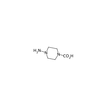 NN1CCN(C(=O)O)CC1